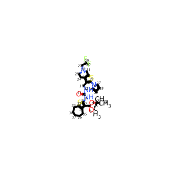 CC(C)(C)OC(=O)c1c(NC(=O)NCc2c(-n3cccc3)sc3c2CCN(CC(F)F)C3)sc2c1CCCCC2